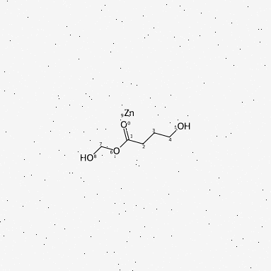 O=C(CCCO)OCO.[Zn]